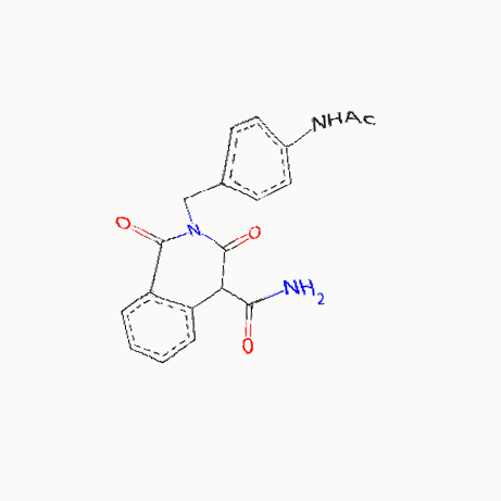 CC(=O)Nc1ccc(CN2C(=O)c3ccccc3C(C(N)=O)C2=O)cc1